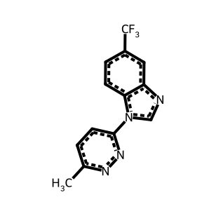 Cc1ccc(-n2cnc3cc(C(F)(F)F)ccc32)nn1